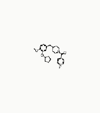 COc1ccc(CC2CCN(C(=O)c3cc[n+](C)cc3)CC2)cc1OC1CCCC1